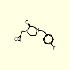 O=C1CN(Cc2ccc(F)cc2)CCN1C[C@H]1CO1